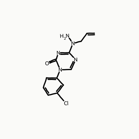 C=CCN(N)c1ncn(-c2cccc(Cl)c2)c(=O)n1